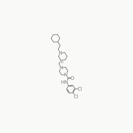 O=C(Nc1ccc(Cl)c(Cl)c1)N1CCN(C[C@@H]2CCCN(CCC3CCCCC3)C2)CC1